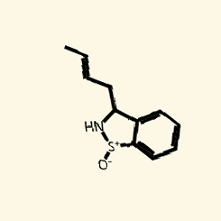 CC=CCC1N[S+]([O-])c2ccccc21